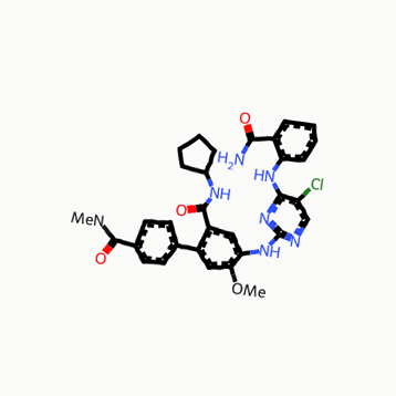 CNC(=O)c1ccc(-c2cc(OC)c(Nc3ncc(Cl)c(Nc4ccccc4C(N)=O)n3)cc2C(=O)NC2CCCC2)cc1